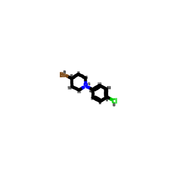 Clc1ccc(N2CCC(Br)CC2)cc1